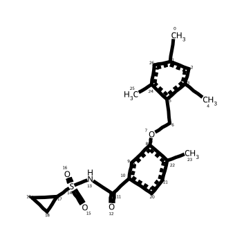 Cc1cc(C)c(COc2cc(C(=O)NS(=O)(=O)C3CC3)ccc2C)c(C)c1